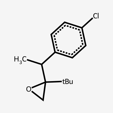 CC(c1ccc(Cl)cc1)C1(C(C)(C)C)CO1